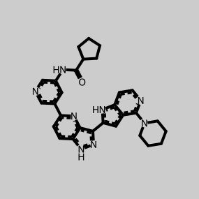 O=C(Nc1cncc(-c2ccc3[nH]nc(-c4cc5c(N6CCCCC6)nccc5[nH]4)c3n2)c1)C1CCCC1